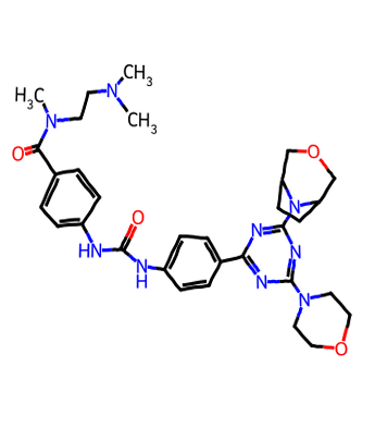 CN(C)CCN(C)C(=O)c1ccc(NC(=O)Nc2ccc(-c3nc(N4CCOCC4)nc(N4C5CCC4COC5)n3)cc2)cc1